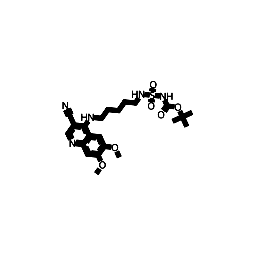 COc1cc2ncc(C#N)c(NCCCCCNS(=O)(=O)NC(=O)OC(C)(C)C)c2cc1OC